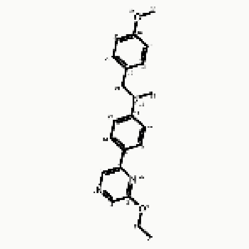 CCOc1cncc(-c2ccc(N(C)Cc3ccc(OC)cc3)cc2)n1